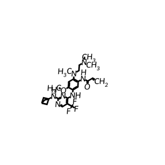 C=CC(=O)Nc1cc(Nc2nc(NC34CC(C3)C4)ncc2C(F)(F)F)c(OC)cc1N(C)CCN(C)C